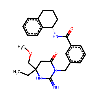 CCC1(COC)CC(=O)N(Cc2cccc(C(=O)N[C@H]3CCCc4ccccc43)c2)C(=N)N1